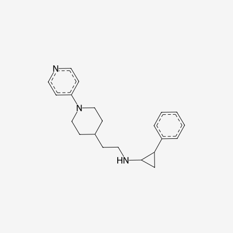 c1ccc(C2CC2NCCC2CCN(c3ccncc3)CC2)cc1